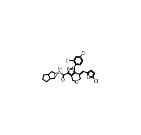 O=C(NN1CC2CCCC2C1)c1nn(-c2ccc(Cl)cc2Cl)c2c1COC/C2=C\c1ccc(Cl)o1